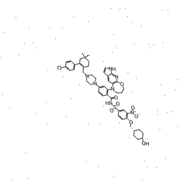 CC1(C)CCC(CN2CCN(c3ccc(C(=O)NS(=O)(=O)c4ccc(OC[C@H]5CC[C@](C)(O)CC5)c([N+](=O)[O-])c4)c(N4CCCOc5nc6[nH]ccc6cc54)c3)CC2)=C(c2ccc(Cl)cc2)C1